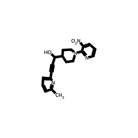 Cc1cccc(C#CC(O)C2CCN(c3ncccc3[N+](=O)[O-])CC2)n1